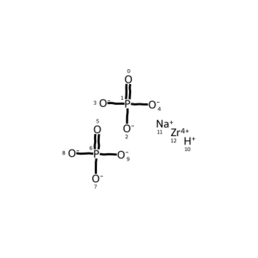 O=P([O-])([O-])[O-].O=P([O-])([O-])[O-].[H+].[Na+].[Zr+4]